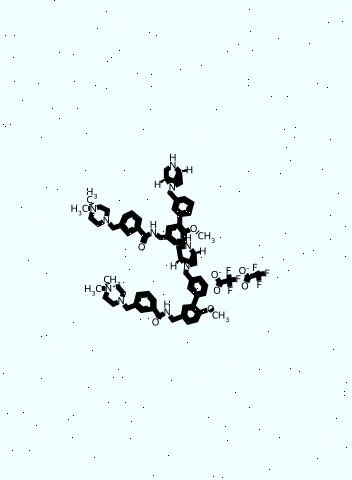 COc1ccc(CNC(=O)c2cccc(CN3CC[N+](C)(C)CC3)c2)cc1-c1cccc(CN2C[C@@H]3C[C@H]2CN3)c1.COc1ccc(CNC(=O)c2cccc(CN3CC[N+](C)(C)CC3)c2)cc1-c1cccc(CN2C[C@@H]3C[C@H]2CN3)c1.O=C([O-])C(F)(F)F.O=C([O-])C(F)(F)F